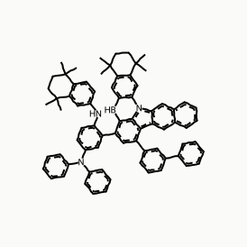 CC1(C)CCC(C)(C)c2cc(Nc3ccc(N(c4ccccc4)c4ccccc4)cc3-c3cc(-c4cccc(-c5ccccc5)c4)c4c5cc6ccccc6cc5n5c4c3Bc3cc4c(cc3-5)C(C)(C)CCC4(C)C)ccc21